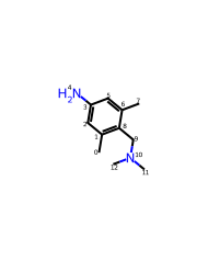 Cc1cc(N)cc(C)c1CN(C)C